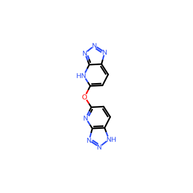 c1cc2[nH]nnc2nc1Oc1ccc2nnnc-2[nH]1